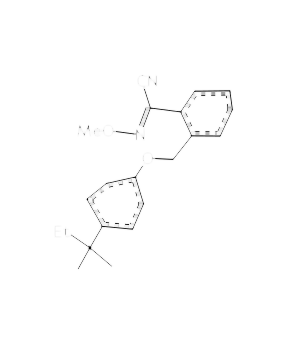 CCC(C)(C)c1ccc(OCc2ccccc2C(C#N)=NOC)cc1